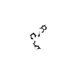 Cc1cc(CCN2C[C@H](O)C[C@H]2C(=O)NCc2ccc(Cl)cc2F)on1